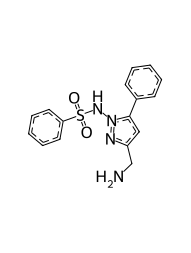 NCc1cc(-c2ccccc2)n(NS(=O)(=O)c2ccccc2)n1